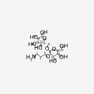 NCCCO[C@H]1[C@H](OC[C@H]2O[C@@H](O)[C@H](O)[C@@H](O)[C@@H]2O)O[C@H](CO)[C@@H](O)[C@@H]1O